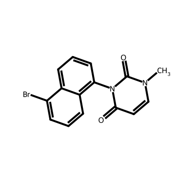 Cn1ccc(=O)n(-c2cccc3c(Br)cccc23)c1=O